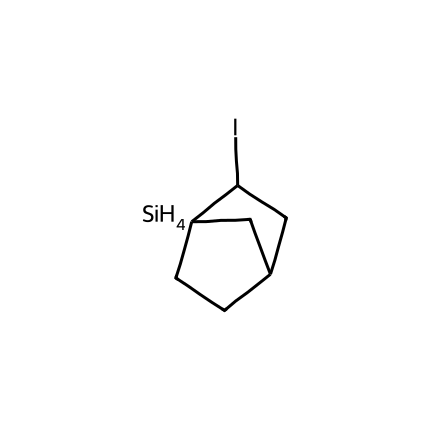 IC1CC2CCC1C2.[SiH4]